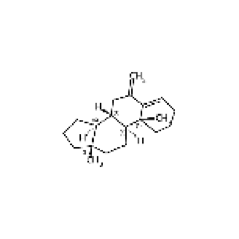 C=C1C[C@H]2[C@@H]3CCC[C@@]3(C)CC[C@@H]2[C@@]2(C)CCCC=C12